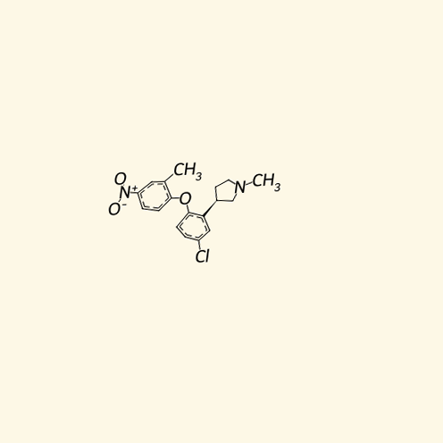 Cc1cc([N+](=O)[O-])ccc1Oc1ccc(Cl)cc1[C@H]1CCN(C)C1